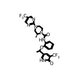 CC(Oc1ccccc1NC(=O)N1CCN(c2ncc(C(F)(F)F)cn2)C[C@@H]1C)c1c[nH]c(=O)c(C(F)(F)F)c1